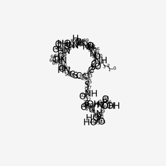 CCCCCC(=O)N[C@H]1CSCc2cc(CSCCNC(=O)CCP(=O)(O)CN3CCN(CP(=O)(O)CO)CCN(CP(=O)(O)CO)CC3)cc(c2)CSC[C@@H](C)NC(=O)[C@H](Cc2ccccc2)NC(=O)[C@H](CCC(=O)O)NC(=O)[C@H]([C@@H](C)O)NC(=O)[C@@H]2CCCN2C(=O)[C@@H]2CCCN2C1=O